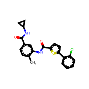 Cc1ccc(C(=O)NC2CC2)cc1NC(=O)c1ccc(-c2ccccc2Cl)s1